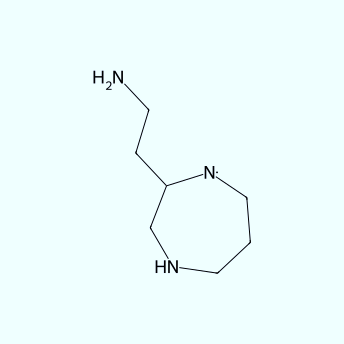 NCCC1CNCCC[N]1